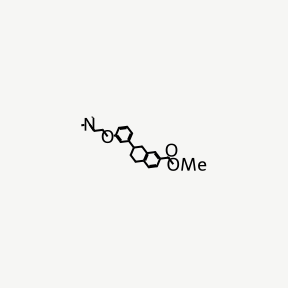 COC(=O)c1ccc2c(c1)CC(c1cccc(OCCN(C)C)c1)CC2